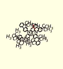 Cc1cc2c3c(c1)N(c1ccc(C(C)(C)C)cc1-c1ccccc1)c1cc4c(cc1B3c1ccc(N3c5ccc(C(C)(C)C)cc5C5(C)CCCCC35C)cc1N2c1ccc2c(c1)C(C)(C)c1ccccc1-2)C(C)(C)c1ccccc1C4(C)C